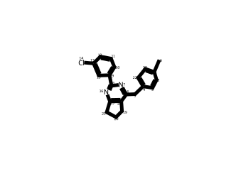 Cc1ccc(Cc2nc(-c3cccc(Cl)c3)nc3c2CCC3)cc1